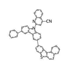 N#Cc1cc(-n2c3ccc(-c4ccccc4)cc3c3cc(-c4ccc5sc6ccc7ccccc7c6c5c4)ccc32)nc2ccccc12